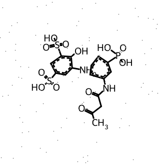 CC(=O)CC(=O)Nc1cccc(P(=O)(O)O)c1.Nc1cc(S(=O)(=O)O)cc(S(=O)(=O)O)c1O